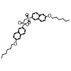 CCCCCCOc1ccc2cc(S(=O)(=O)CS(=O)(=O)c3ccc4cc(OCCCCCC)ccc4c3)ccc2c1